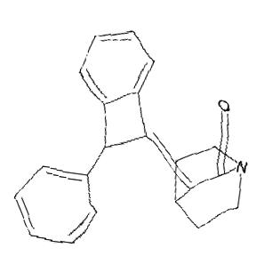 O=C1C(=C2c3ccccc3C2c2ccccc2)C2CCN1CC2